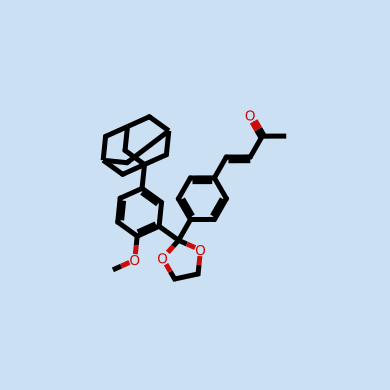 COc1ccc(C23CC4CC(CC(C4)C2)C3)cc1C1(c2ccc(/C=C/C(C)=O)cc2)OCCO1